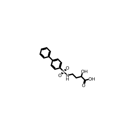 O=C(O)C(O)CCNS(=O)(=O)c1ccc(-c2ccccc2)cc1